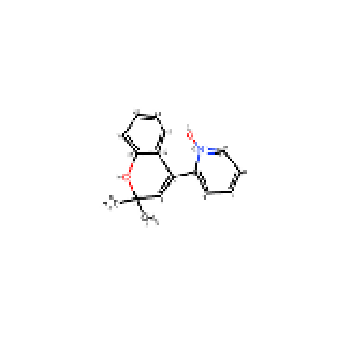 CC1(C)C=C(c2cccc[n+]2[O-])c2ccccc2O1